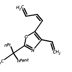 C=C/C=C\c1oc(C(C)(CCC)CCCCC)nc1C=C